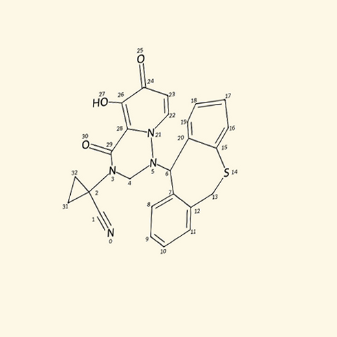 N#CC1(N2CN(C3c4ccccc4CSc4ccccc43)n3ccc(=O)c(O)c3C2=O)CC1